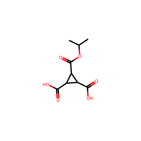 CC(C)OC(=O)C1C(C(=O)O)C1C(=O)O